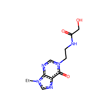 CCn1cnc2c(=O)n(CCNC(=O)CO)cnc21